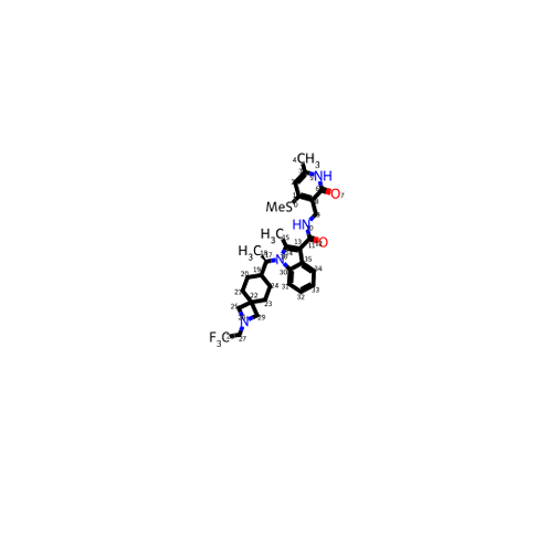 CSc1cc(C)[nH]c(=O)c1CNC(=O)c1c(C)n([C@H](C)C2CCC3(CC2)CN(CC(F)(F)F)C3)c2ccccc12